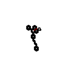 COc1ccc(N(CC(c2ccccc2)c2ccccc2)c2ccc(C=CC=Cc3ccccc3)cc2)cc1